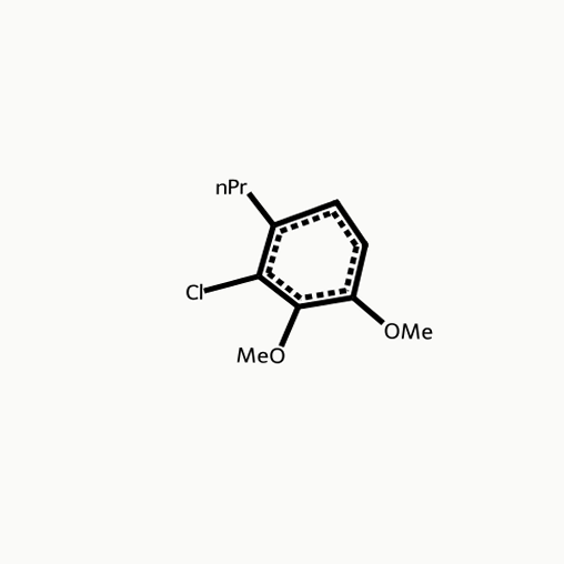 CCCc1ccc(OC)c(OC)c1Cl